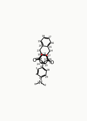 CN(C)c1ccc(N2C(=O)C3=C(C2=O)C2c4ccccc4C3c3ccccc32)cc1